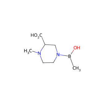 CB(O)N1CCN(C)C(C(=O)O)C1